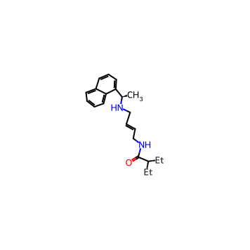 CCC(CC)C(=O)NC/C=C/CN[C@H](C)c1cccc2ccccc12